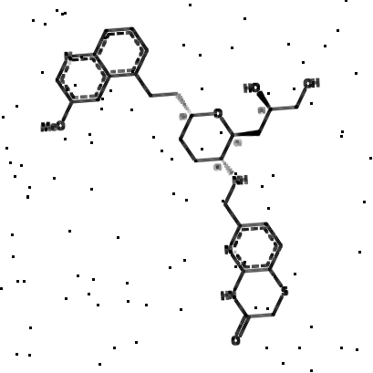 COc1cnc2cccc(CC[C@H]3CC[C@@H](NCc4ccc5c(n4)NC(=O)CS5)[C@H](C[C@@H](O)CO)O3)c2c1